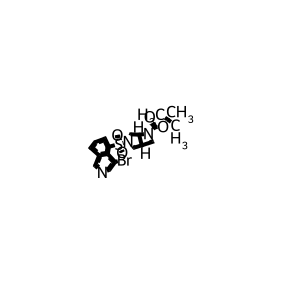 CC(C)(C)OC(=O)N1C[C@@H]2CN(S(=O)(=O)c3cccc4cncc(Br)c34)C[C@@H]21